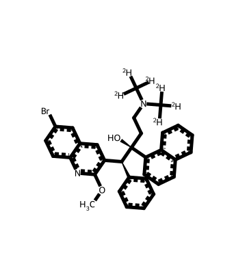 [2H]C([2H])([2H])N(CC[C@](O)(c1cccc2ccccc12)[C@@H](c1ccccc1)c1cc2cc(Br)ccc2nc1OC)C([2H])([2H])[2H]